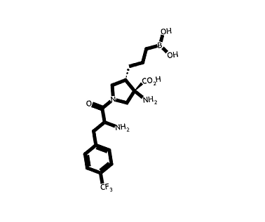 NC(Cc1ccc(C(F)(F)F)cc1)C(=O)N1C[C@H](CCCB(O)O)[C@@](N)(C(=O)O)C1